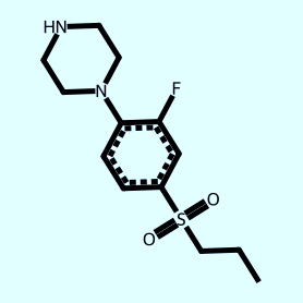 CCCS(=O)(=O)c1ccc(N2CCNCC2)c(F)c1